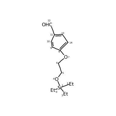 CC[Si](CC)(CC)OCCOc1ccc(C=O)cc1